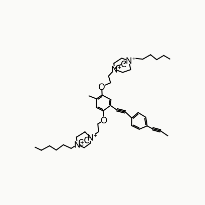 CC#Cc1ccc(C#Cc2cc(OCC[N+]34CC[N+](CCCCCC)(CC3)CC4)c(C)cc2OCC[N+]23CC[N+](CCCCCC)(CC2)CC3)cc1